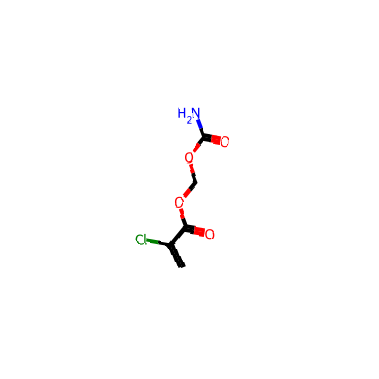 C=C(Cl)C(=O)OCOC(N)=O